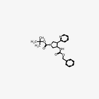 CC(C)(C)OC(=O)N1CC(NC(=O)OCc2ccccc2)C(c2ccccn2)C1